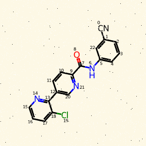 N#Cc1cccc(NC(=O)c2ccc(-c3ncccc3Cl)cn2)c1